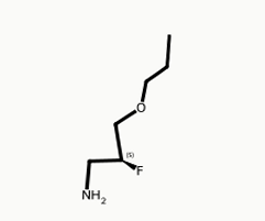 CCCOC[C@@H](F)CN